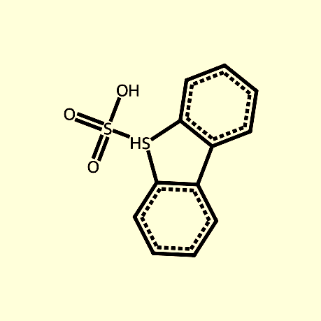 O=S(=O)(O)[SH]1c2ccccc2-c2ccccc21